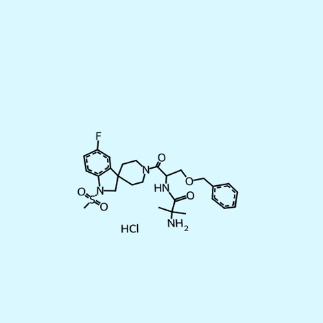 CC(C)(N)C(=O)NC(COCc1ccccc1)C(=O)N1CCC2(CC1)CN(S(C)(=O)=O)c1ccc(F)cc12.Cl